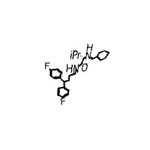 CC(C)[C@H](NCC1CCCCC1)C(=O)NCCCC(c1ccc(F)cc1)c1ccc(F)cc1